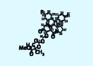 COC(=O)C(C)(C)OC(=O)OCOc1c2n(ncc1=O)[C@@H](C(c1ccc(F)cc1)c1ccc(F)cc1)[C@H]1CCCN1C2=O